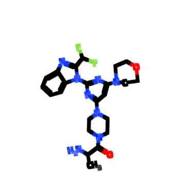 CC(N)C(=O)N1CCN(c2cc(N3CCOCC3)nc(-n3c(C(F)F)nc4ccccc43)n2)CC1